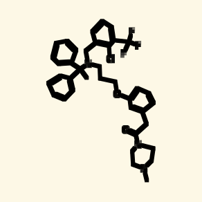 CN1CCN(C(=O)Cc2cccc(OCCCN(Cc3cccc(C(F)(F)F)c3Cl)C(C)(c3ccccc3)c3ccccc3)c2)CC1